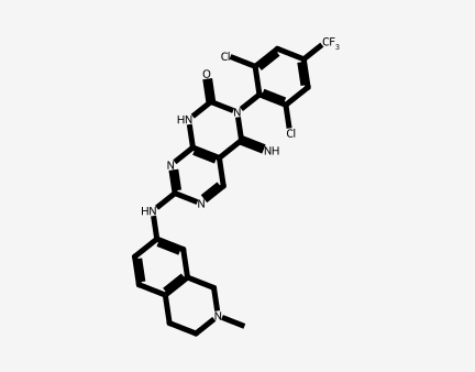 CN1CCc2ccc(Nc3ncc4c(=N)n(-c5c(Cl)cc(C(F)(F)F)cc5Cl)c(=O)[nH]c4n3)cc2C1